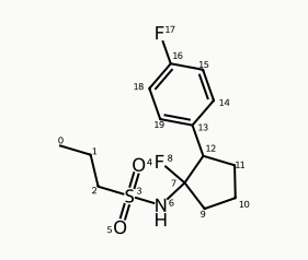 CCCS(=O)(=O)NC1(F)CCCC1c1ccc(F)cc1